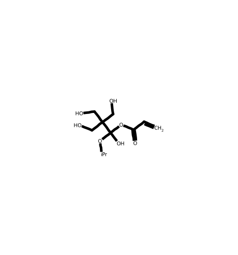 C=CC(=O)OC(O)(OC(C)C)C(CO)(CO)CO